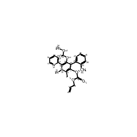 C=CCOC(=O)OC1=C(C)N(C(C)C)C(c2ccccn2)=C(OC(=O)OC(C)C)C1c1ccccc1C#N